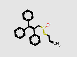 C=CCS[S+]([O-])CC(=C(c1ccccc1)c1ccccc1)c1ccccc1